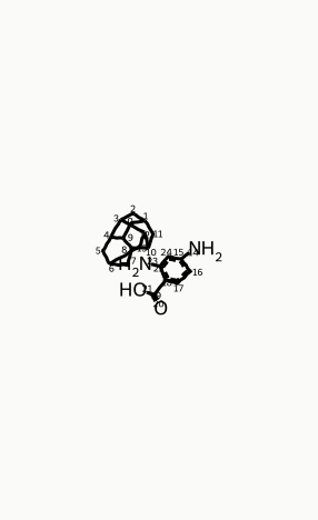 C1C2CC3C4CC5CC(C14)C(C2)C3C5.Nc1ccc(C(=O)O)c(N)c1